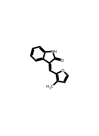 Cc1ccoc1/C=C1\C(=O)Nc2ccccc21